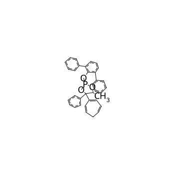 CC1OP(Oc2c(-c3ccccc3)cccc2-c2ccccc2)OC1(C1=CC=CCC=C1)c1ccccc1